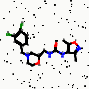 Cc1noc(C)c1NC(=O)NCC1CN(Cc2ccc(Cl)c(Cl)c2)CCO1